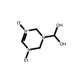 CCN1C=[N+]([O-])CN(C(O)O)C1